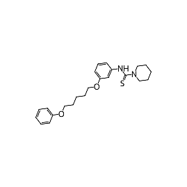 S=C(Nc1cccc(OCCCCCOc2ccccc2)c1)N1CCCCC1